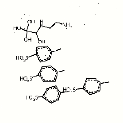 Cc1ccc(S(=O)(=O)O)cc1.Cc1ccc(S(=O)(=O)O)cc1.Cc1ccc(S(=O)(=O)O)cc1.Cc1ccc(S(=O)(=O)O)cc1.NCCNC(O)C(O)(O)O